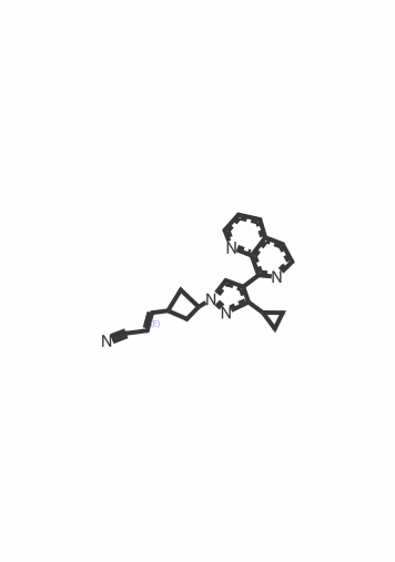 N#C/C=C/C1CC(n2cc(-c3nccc4cccnc34)c(C3CC3)n2)C1